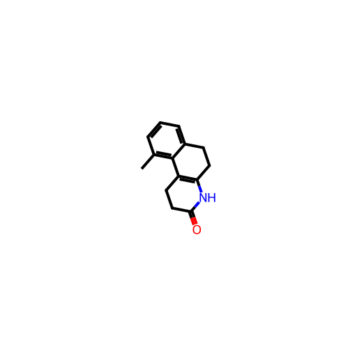 Cc1cccc2c1C1=C(CC2)NC(=O)CC1